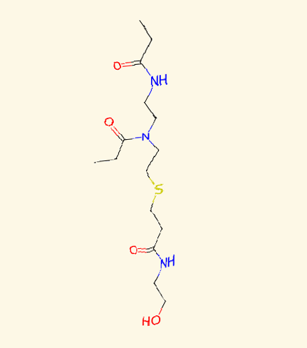 CCC(=O)NCCN(CCSCCC(=O)NCCO)C(=O)CC